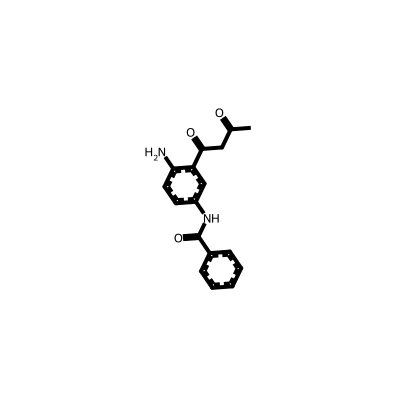 CC(=O)CC(=O)c1cc(NC(=O)c2ccccc2)ccc1N